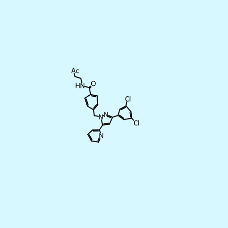 CC(=O)CCNC(=O)c1ccc(Cn2nc(-c3cc(Cl)cc(Cl)c3)cc2-c2ccccn2)cc1